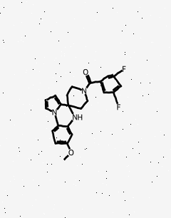 COc1ccc2c(c1)NC1(CCN(C(=O)c3cc(F)cc(F)c3)CC1)c1cccn1-2